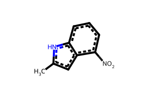 Cc1cc2c([N+](=O)[O-])cccc2[nH]1